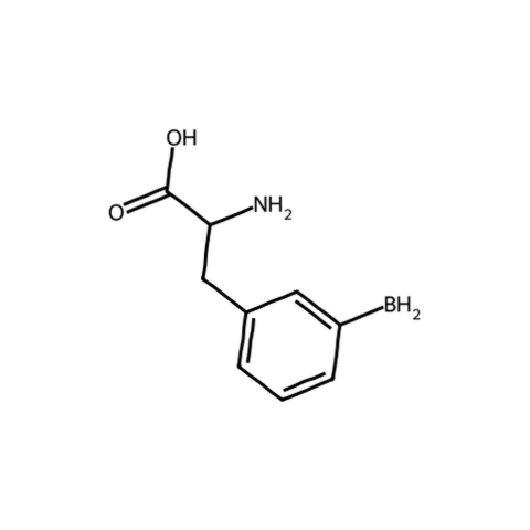 Bc1cccc(CC(N)C(=O)O)c1